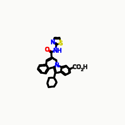 O=C(Nc1nccs1)C1=Cc2ccccc2-c2c(C3CCCCC3)c3ccc(C(=O)O)cc3n2C1